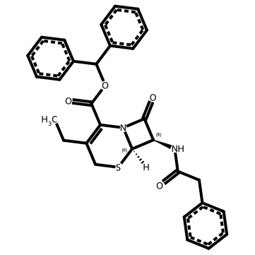 CCC1=C(C(=O)OC(c2ccccc2)c2ccccc2)N2C(=O)[C@@H](NC(=O)Cc3ccccc3)[C@H]2SC1